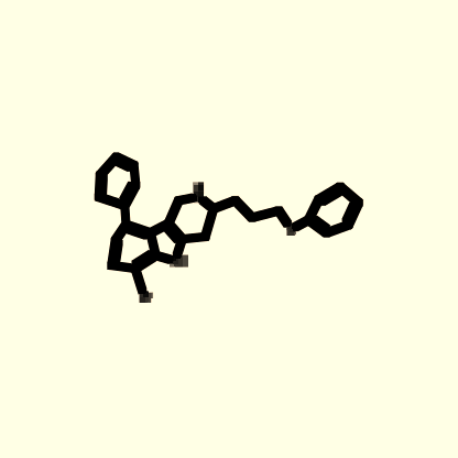 Brc1ccc(-c2ccccc2)c2c3c([nH]c12)CC(CCCSc1ccccc1)NC3